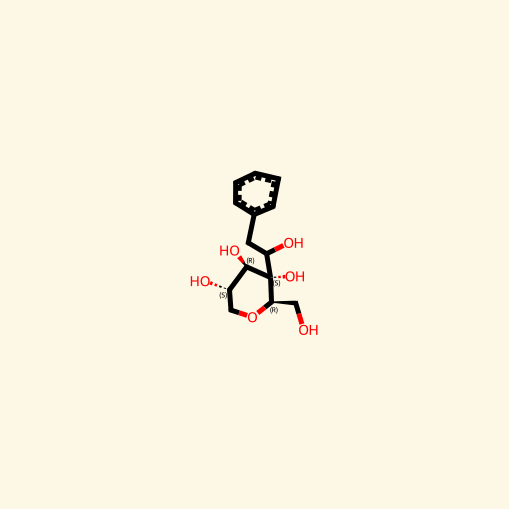 OC[C@H]1OC[C@H](O)[C@@H](O)[C@@]1(O)C(O)Cc1ccccc1